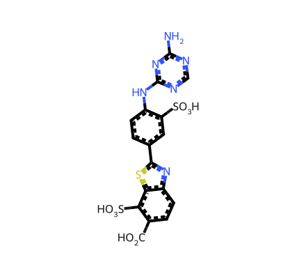 Nc1ncnc(Nc2ccc(-c3nc4ccc(C(=O)O)c(S(=O)(=O)O)c4s3)cc2S(=O)(=O)O)n1